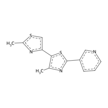 Cc1nc(-c2sc(-c3cccnc3)nc2C)cs1